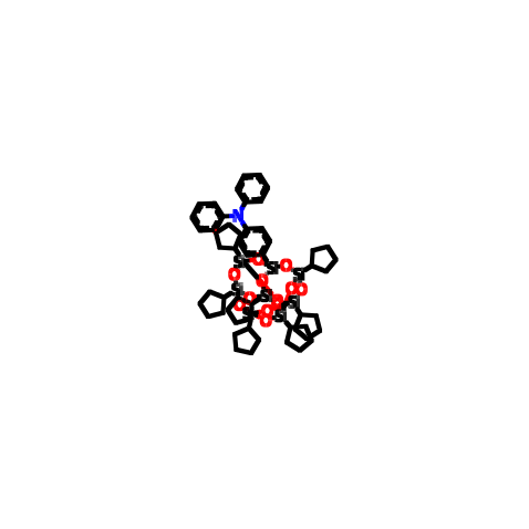 c1ccc(N(c2ccccc2)c2ccc([Si]34O[Si]5(C6CCCC6)O[Si]6(C7CCCC7)O[Si](C7CCCC7)(O3)O[Si]3(C7CCCC7)O[Si](C7CCCC7)(O4)O[Si](C4CCCC4)(O5)O[Si](C4CCCC4)(O6)O3)cc2)cc1